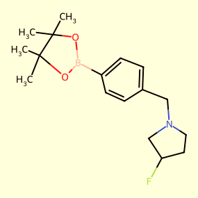 CC1(C)OB(c2ccc(CN3CCC(F)C3)cc2)OC1(C)C